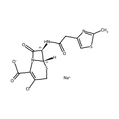 Cc1nc(CC(=O)N[C@@H]2C(=O)N3C(C(=O)[O-])=C(Cl)CS[C@@H]23)cs1.[Na+]